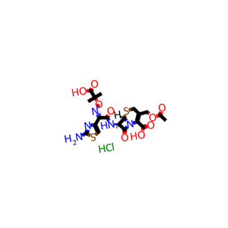 CC(=O)OCC1=C(C(=O)O)N2C(=O)[C@@H](NC(=O)/C(=N\OC(C)(C)C(=O)O)c3csc(N)n3)[C@H]2SC1.Cl